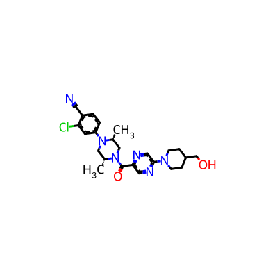 C[C@@H]1CN(c2ccc(C#N)c(Cl)c2)[C@@H](C)CN1C(=O)c1cnc(N2CCC(CO)CC2)cn1